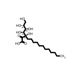 CCCCCCCCCCCC[C@](O)(C(=O)C(=O)O)[C@@H](O)[C@H](O)[C@H](O)CO